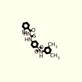 Cc1cc(C)cc(NS(=O)(=O)c2ccc(NC(=S)NC(=O)c3ccccc3Br)cc2)c1